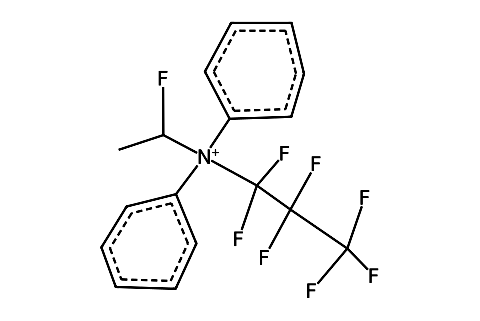 CC(F)[N+](c1ccccc1)(c1ccccc1)C(F)(F)C(F)(F)C(F)(F)F